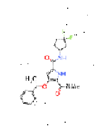 CNC(=O)c1[nH]c(C(=O)NC2CCC(F)(F)C2)cc1O[C@@H](C)c1ccccc1